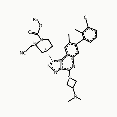 Cc1cc2c(cc1-c1cccc(Cl)c1C)nc(N1CC(N(C)C)C1)c1nnn([C@H]3CCN(C(=O)OC(C)(C)C)[C@H](CC#N)C3)c12